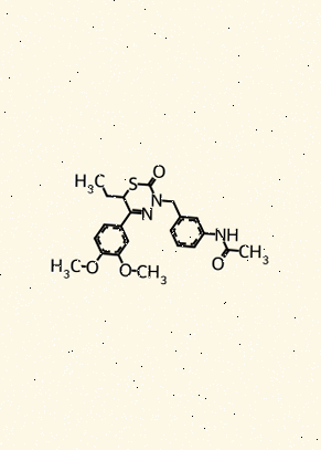 CCC1SC(=O)N(Cc2cccc(NC(C)=O)c2)N=C1c1ccc(OC)c(OC)c1